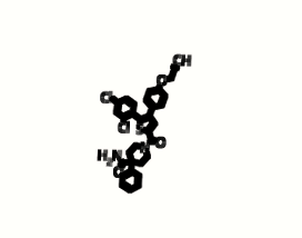 C#CCOc1ccc(-c2cc(C(=O)N3CCC(C(N)=O)(c4ccccc4)CC3)sc2-c2ccc(Cl)cc2Cl)cc1